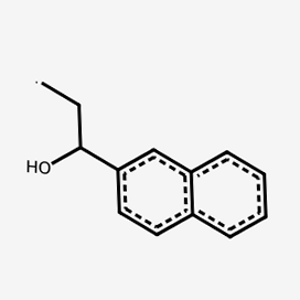 [CH2]CC(O)c1ccc2ccccc2c1